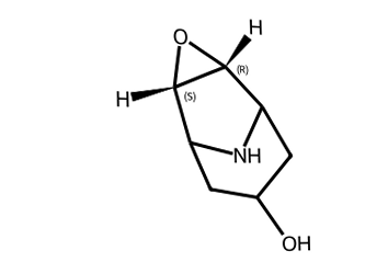 OC1CC2NC(C1)[C@@H]1O[C@H]21